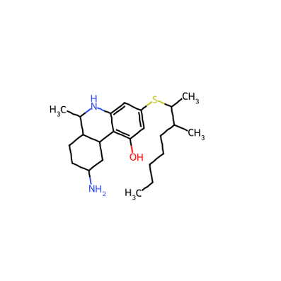 CCCCCC(C)C(C)Sc1cc(O)c2c(c1)NC(C)C1CCC(N)CC21